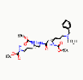 CC(C)(C)OC(=O)NCCC[C@@H](CNC(=O)C[C@H](CCCN(Cc1ccccc1)C(=O)O)NC(=O)OC(C)(C)C)NC(=O)OC(C)(C)C